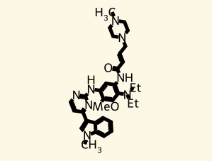 CCN(CC)c1cc(OC)c(Nc2nccc(-c3cn(C)c4ccccc34)n2)cc1NC(=O)/C=C/CN1CCN(C)CC1